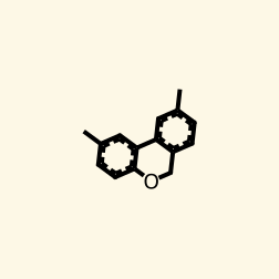 Cc1ccc2c(c1)-c1cc(C)ccc1OC2